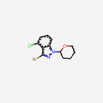 Clc1cccc2c1c(Br)nn2C1CCCCO1